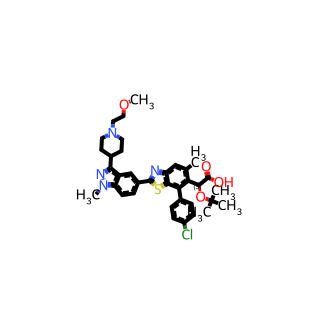 COCCN1CCC(c2nn(C)c3ccc(-c4nc5cc(C)c([C@H](OC(C)(C)C)C(=O)O)c(-c6ccc(Cl)cc6)c5s4)cc23)CC1